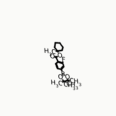 CC1(OC(=O)c2ccc(B3OC(C)(C)C(C)(C)O3)cc2F)CCCCC1